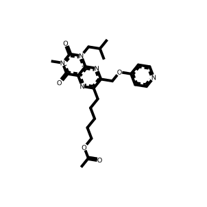 CC(=O)OCCCCCc1nc2c(=O)n(C)c(=O)n(CC(C)C)c2nc1COc1ccncc1